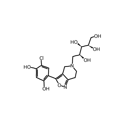 OC[C@@H](O)[C@H](O)[C@@H](O)CN1CCc2noc(-c3cc(Cl)c(O)cc3O)c2C1